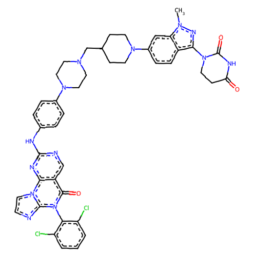 Cn1nc(N2CCC(=O)NC2=O)c2ccc(N3CCC(CN4CCN(c5ccc(Nc6ncc7c(=O)n(-c8c(Cl)cccc8Cl)c8nccn8c7n6)cc5)CC4)CC3)cc21